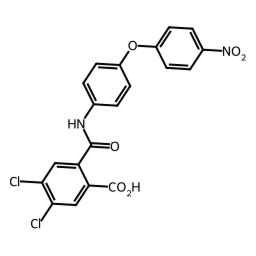 O=C(O)c1cc(Cl)c(Cl)cc1C(=O)Nc1ccc(Oc2ccc([N+](=O)[O-])cc2)cc1